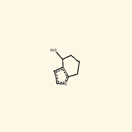 OC1CCCc2sccc21